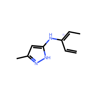 C=C/C(=C\C)Nc1cc(C)n[nH]1